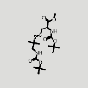 COC(=O)[C@H](CSSC(C)(C)CNC(=O)OC(C)(C)C)NC(=O)OC(C)(C)C